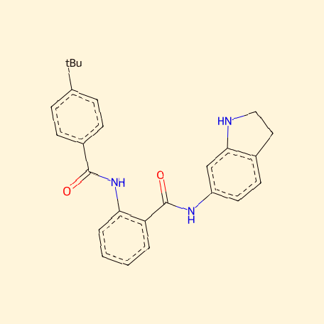 CC(C)(C)c1ccc(C(=O)Nc2ccccc2C(=O)Nc2ccc3c(c2)NCC3)cc1